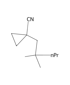 CCCC(C)(C)CC1(C#N)CC1